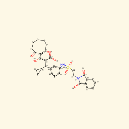 O=C1CCCCCc2oc(=O)c(C(c3cccc(NS(=O)(=O)CCN4C(=O)c5ccccc5C4=O)c3)C3CC3)c(O)c21